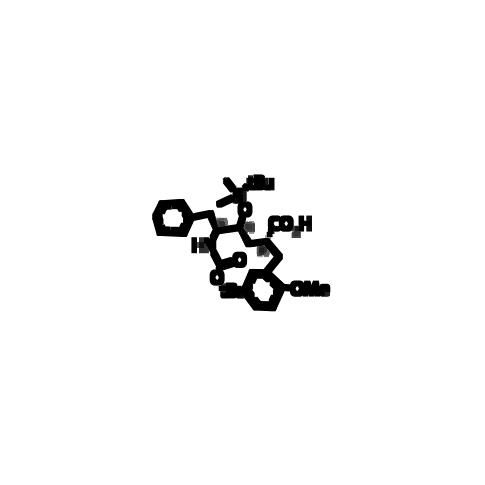 COc1ccccc1C[C@H](C[C@H](O[Si](C)(C)C(C)(C)C)[C@H](Cc1ccccc1)NC(=O)OC(C)(C)C)C(=O)O